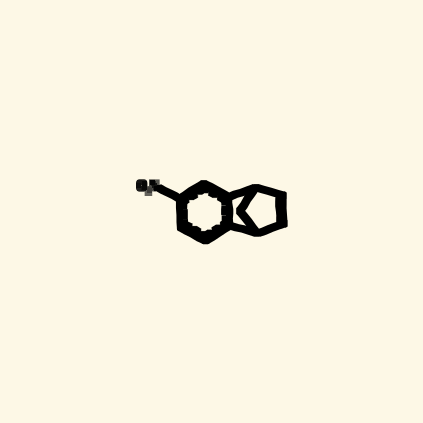 O=[N+]([O-])c1ccc2c(c1)C1C=CC2C1